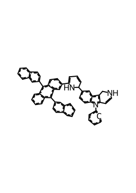 C1=CC(c2ccc3c(c2)c2c(n3-c3ccccc3)C=CNC2)NC(c2ccc3c(-c4ccc5ccccc5c4)c4ccccc4c(-c4ccc5ccccc5c4)c3c2)=C1